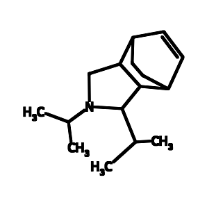 CC(C)C1C2C3C=CC(CC3)C2CN1C(C)C